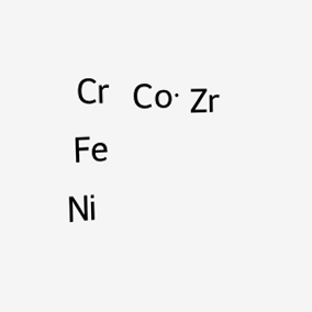 [Co].[Cr].[Fe].[Ni].[Zr]